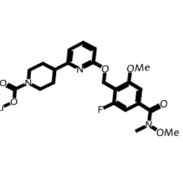 COc1cc(C(=O)N(C)OC)cc(F)c1COc1cccc(C2CCN(C(=O)OC(C)(C)C)CC2)n1